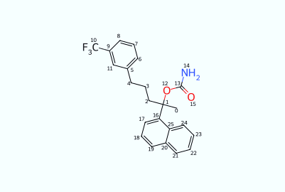 CC(CCCc1cccc(C(F)(F)F)c1)(OC(N)=O)c1cccc2ccccc12